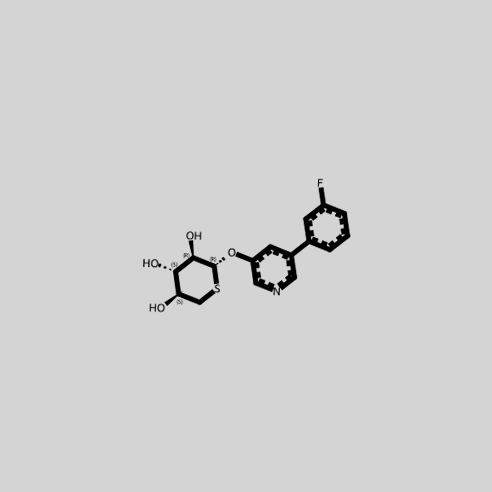 O[C@@H]1[C@@H](O)[C@H](Oc2cncc(-c3cccc(F)c3)c2)SC[C@H]1O